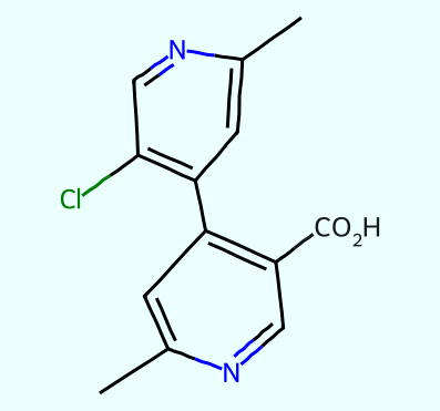 Cc1cc(-c2cc(C)ncc2C(=O)O)c(Cl)cn1